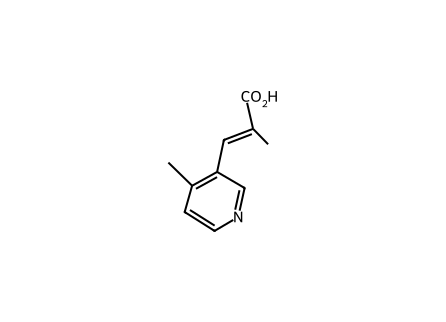 CC(=Cc1cnccc1C)C(=O)O